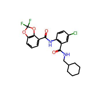 O=C(NCC1CCCCC1)c1cc(Cl)ccc1NC(=O)c1cccc2c1OC(F)(F)O2